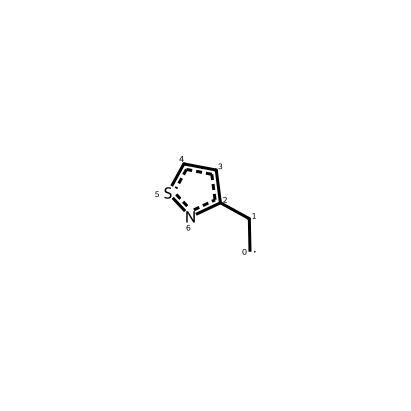 [CH2]Cc1ccsn1